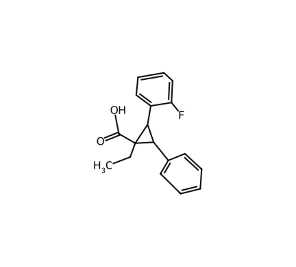 CCC1(C(=O)O)C(c2ccccc2)C1c1ccccc1F